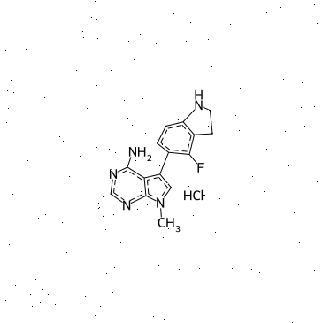 Cl.Cn1cc(-c2ccc3c(c2F)CCN3)c2c(N)ncnc21